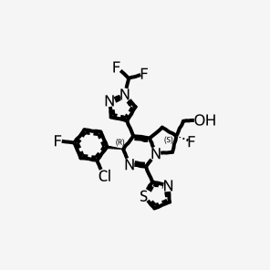 OC[C@]1(F)CC2=C(c3cnn(C(F)F)c3)[C@H](c3ccc(F)cc3Cl)N=C(c3nccs3)N2C1